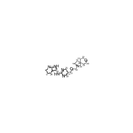 c1cnc2[nH]cc(Nc3ncc(COCN4CCC5(CCOCC5)C4)cn3)c2c1